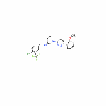 COc1ccccc1-c1ccc(N2CCCC(NCc3ccc(Cl)c(C(F)(F)F)c3)C2)nn1